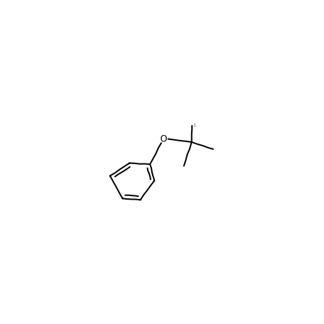 [CH]C(C)(C)Oc1ccccc1